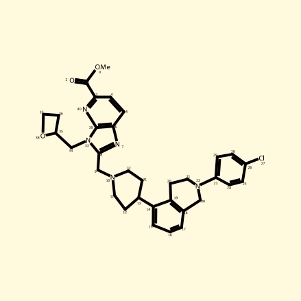 COC(=O)c1ccc2nc(CN3CCC(c4cccc5c4CCN(c4ccc(Cl)cc4)C5)CC3)n(CC3CCO3)c2n1